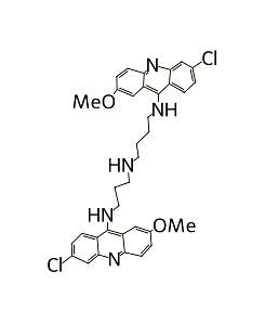 COc1ccc2nc3cc(Cl)ccc3c(NCCCCNCCCNc3c4ccc(Cl)cc4nc4ccc(OC)cc34)c2c1